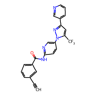 C#Cc1cccc(C(=O)Nc2ccc(-n3nc(-c4cccnc4)cc3C(F)(F)F)cn2)c1